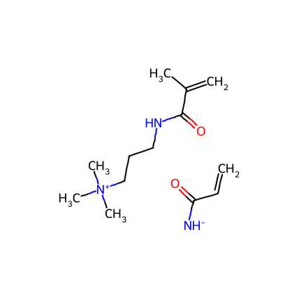 C=C(C)C(=O)NCCC[N+](C)(C)C.C=CC([NH-])=O